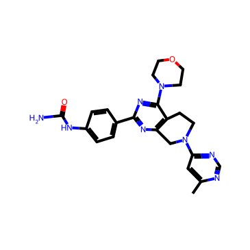 Cc1cc(N2CCc3c(nc(-c4ccc(NC(N)=O)cc4)nc3N3CCOCC3)C2)ncn1